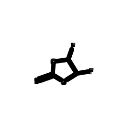 FC1OC(=S)OC1F